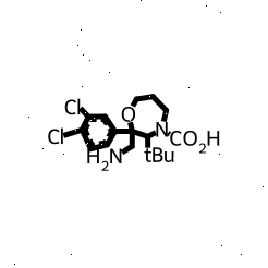 CC(C)(C)C1N(C(=O)O)CCCOC1(CN)c1ccc(Cl)c(Cl)c1